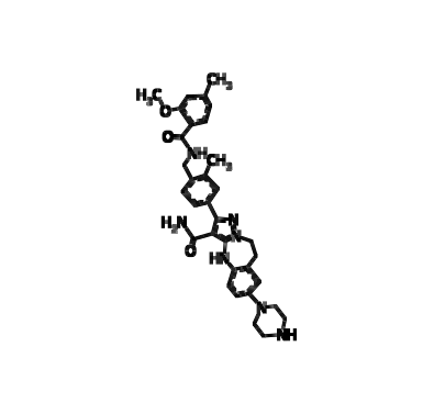 COc1cc(C)ccc1C(=O)NCc1ccc(-c2nn3c(c2C(N)=O)Nc2ccc(N4CCNCC4)cc2CC3)cc1C